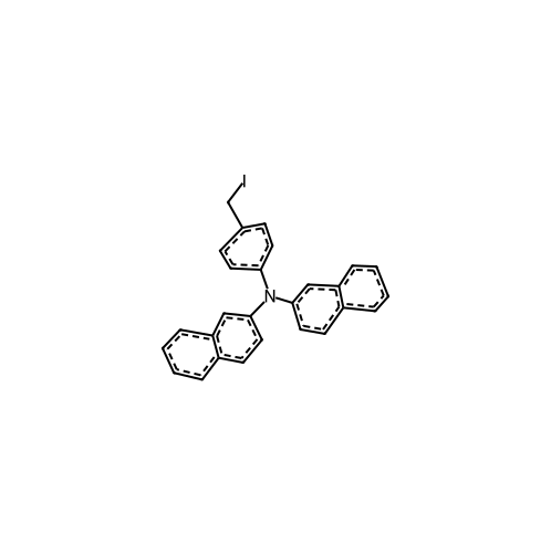 ICc1ccc(N(c2ccc3ccccc3c2)c2ccc3ccccc3c2)cc1